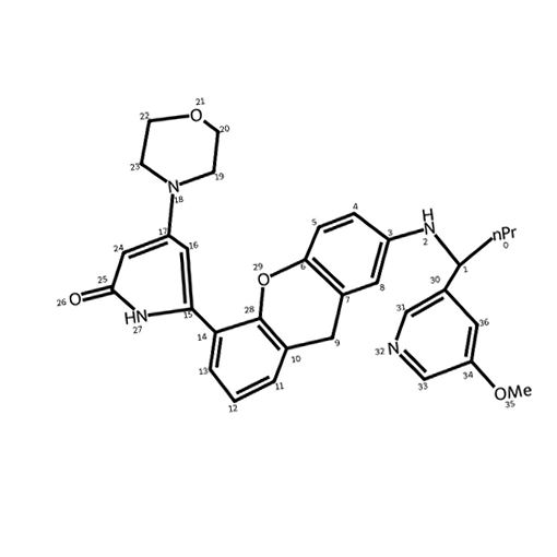 CCCC(Nc1ccc2c(c1)Cc1cccc(-c3cc(N4CCOCC4)cc(=O)[nH]3)c1O2)c1cncc(OC)c1